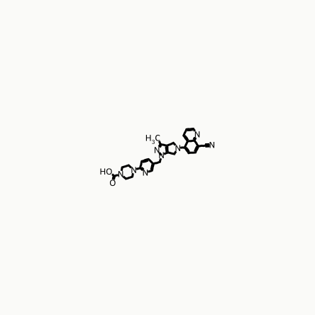 Cc1nn(Cc2ccc(N3CCN(C(=O)O)CC3)nc2)c2c1CN(c1ccc(C#N)c3ncccc13)C2